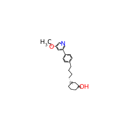 COc1cncc(-c2ccc(CCCC[C@H]3CCC[C@@H](O)C3)cc2)c1